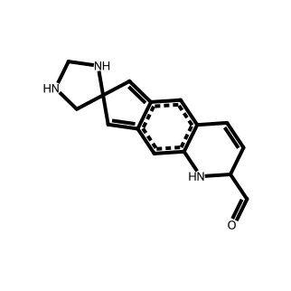 O=CC1C=Cc2cc3c(cc2N1)=CC1(C=3)CNCN1